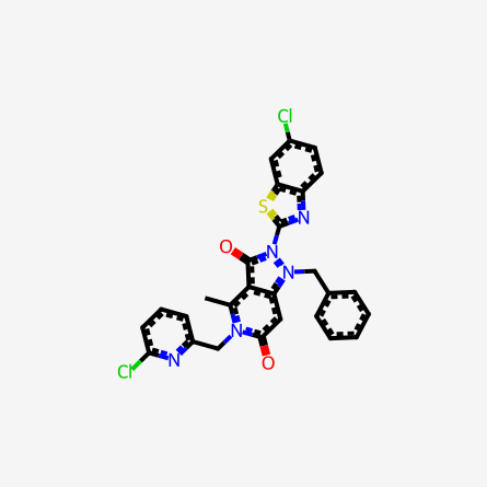 Cc1c2c(=O)n(-c3nc4ccc(Cl)cc4s3)n(Cc3ccccc3)c2cc(=O)n1Cc1cccc(Cl)n1